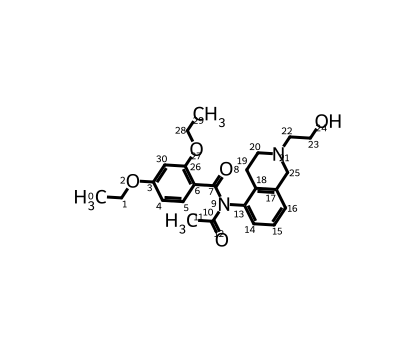 CCOc1ccc(C(=O)N(C(C)=O)c2cccc3c2CCN(CCO)C3)c(OCC)c1